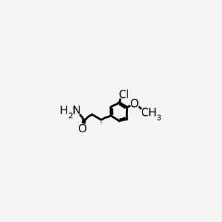 COc1ccc([CH]CC(N)=O)cc1Cl